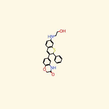 O=C1COc2ccc(C3=Cc4ccc(NCCO)cc4SC3c3ccccc3)cc2N1